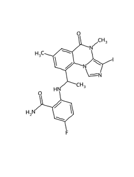 Cc1cc(C(C)Nc2ccc(F)cc2C(N)=O)c2c(c1)c(=O)n(C)c1c(I)ncn21